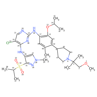 COCC(C)(C)N1CCC(c2cc(OC(C)C)c(Nc3ncc(Cl)c(Nc4cn(C)nc4S(=O)(=O)C(C)C)n3)cc2C)CC1